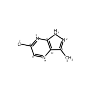 Cc1n[nH]c2nc(Cl)cnc12